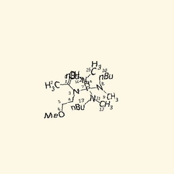 C=C(C)N(CCOC)[PH](N(C)CCCC)(N(C)CCCC)N(C)CCCC